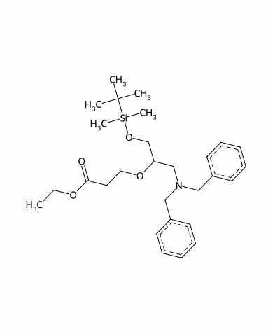 CCOC(=O)CCOC(CO[Si](C)(C)C(C)(C)C)CN(Cc1ccccc1)Cc1ccccc1